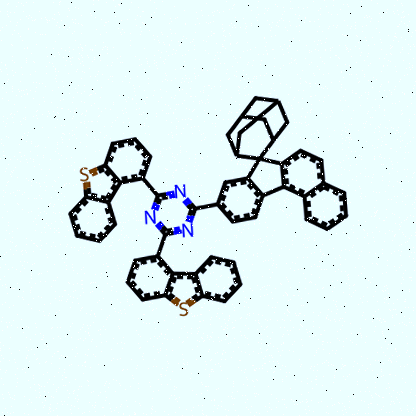 c1ccc2c3c(ccc2c1)C1(c2cc(-c4nc(-c5cccc6sc7ccccc7c56)nc(-c5cccc6sc7ccccc7c56)n4)ccc2-3)C2CC3CC(C2)CC1C3